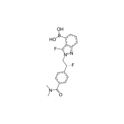 CN(C)C(=O)c1ccc([C@@H](F)Cn2nc3cccc(B(O)O)c3c2F)cc1